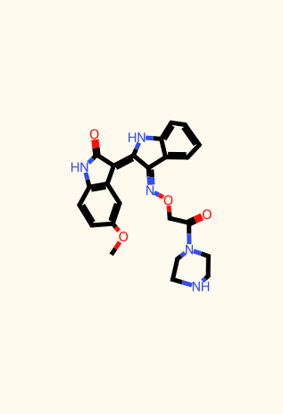 COc1ccc2c(c1)/C(=C1/Nc3ccccc3/C1=N\OCC(=O)N1CCNCC1)C(=O)N2